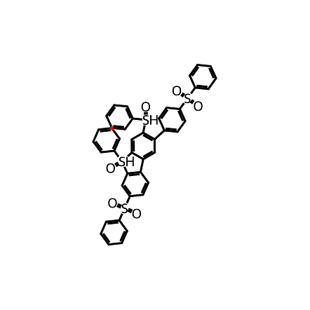 O=S(=O)(c1ccccc1)c1ccc2c(c1)[SH](=O)(c1ccccc1)c1cc3c(cc1-2)-c1ccc(S(=O)(=O)c2ccccc2)cc1[SH]3(=O)c1ccccc1